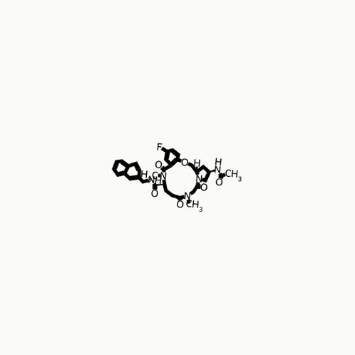 CC(=O)N[C@@H]1C[C@H]2COc3ccc(F)cc3C(=O)N(C)[C@H](C(=O)NCc3ccc4ccccc4c3)CCC(=O)N(C)CC(=O)N2C1